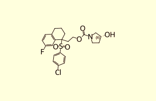 O=C(OCCC1(S(=O)(=O)c2ccc(Cl)cc2)CCCc2ccc(F)cc21)N1CC[C@@H](O)C1